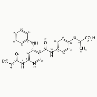 CCNC(=O)Nc1cc(Nc2ccccc2)c(C(=O)Nc2ccc(CC(C)C(=O)O)cc2)cn1